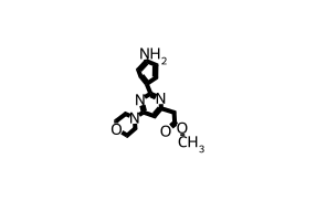 COC(=O)Cc1cc(N2CCOCC2)nc(-c2ccc(N)cc2)n1